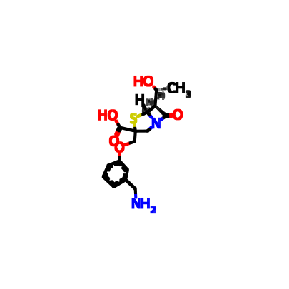 C[C@@H](O)[C@H]1C(=O)N2CC(COc3cccc(CN)c3)(C(=O)O)S[C@H]12